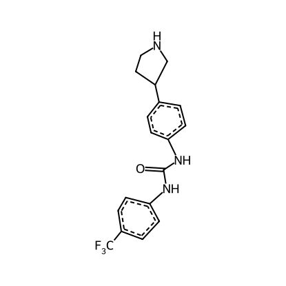 O=C(Nc1ccc(C2CCNC2)cc1)Nc1ccc(C(F)(F)F)cc1